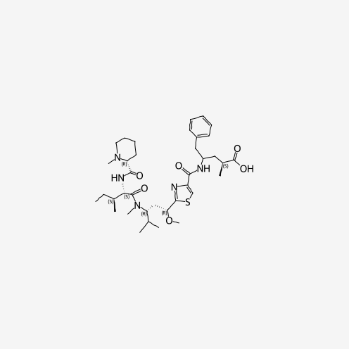 CC[C@H](C)[C@H](NC(=O)[C@H]1CCCCN1C)C(=O)N(C)[C@H](C[C@@H](OC)c1nc(C(=O)NC(Cc2ccccc2)C[C@H](C)C(=O)O)cs1)C(C)C